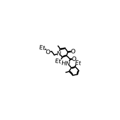 CCOCCn1c(C)cc(=O)c(C(=O)Nc2c(C)cccc2CC)c1CC